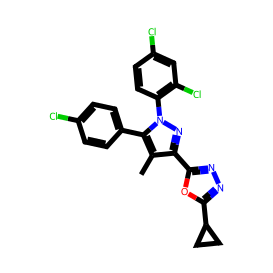 Cc1c(-c2nnc(C3CC3)o2)nn(-c2ccc(Cl)cc2Cl)c1-c1ccc(Cl)cc1